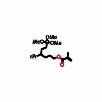 C=C(C)C(=O)OCCCC(CCC)CC[Si](OC)(OC)OC